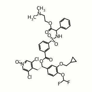 CN(C)CCOC(=O)C(NS(=O)(=O)c1cccc(C(=O)O[C@@H](Cc2c(Cl)c[n+]([O-])cc2Cl)c2ccc(OC(F)F)c(OCC3CC3)c2)c1)c1ccccc1